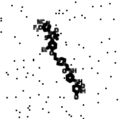 CCc1cc(N2C(=S)N(c3cnc(C#N)c(C(F)(F)F)c3)C(=O)C2(C)C)ccc1OCCN1CCN(CC(=O)Nc2cccc(NC3CCC(=O)NC3=O)c2)CC1